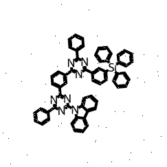 c1ccc(-c2nc(-c3cccc(-c4nc(-c5ccccc5)nc(-n5c6ccccc6c6ccccc65)n4)c3)nc(-c3cccc([Si](c4ccccc4)(c4ccccc4)c4ccccc4)c3)n2)cc1